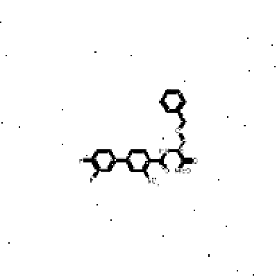 COC(=O)[C@H](COCc1ccccc1)NC(=O)c1ccc(-c2ccc(F)c(F)c2)cc1[N+](=O)[O-]